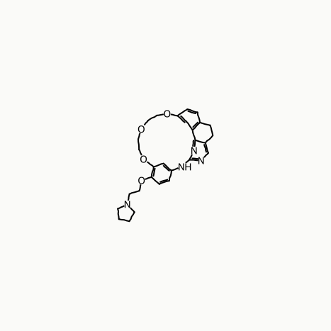 c1cc(OCCN2CCCC2)c2cc1Nc1ncc3c(n1)-c1cc(ccc1CC3)OCCOCCO2